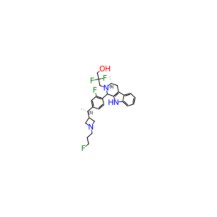 C[C@H](c1ccc(C2c3[nH]c4ccccc4c3C[C@@H](C)N2CC(F)(F)CO)c(F)c1)C1CN(CCCF)C1